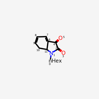 CCCCCCN1C(=O)C(=O)C2=CC=CCC21